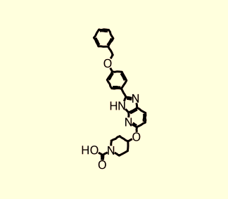 O=C(O)N1CCC(Oc2ccc3nc(-c4ccc(OCc5ccccc5)cc4)[nH]c3n2)CC1